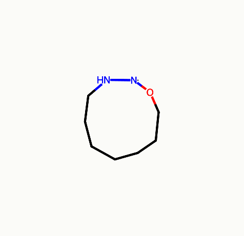 C1CCCN[N]OCCC1